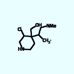 [CH2]C(CNC)C1(CO)CCNCC1Cl